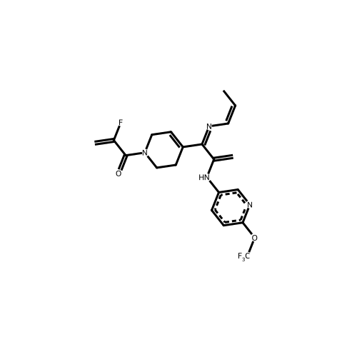 C=C(F)C(=O)N1CC=C(/C(=N/C=C\C)C(=C)Nc2ccc(OC(F)(F)F)nc2)CC1